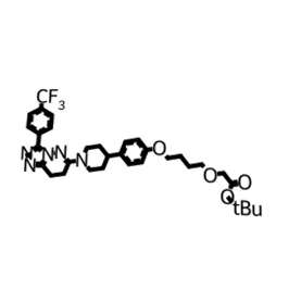 CC(C)(C)OC(=O)COCCCCOc1ccc(C2CCN(C3=Nn4c(nnc4-c4ccc(C(F)(F)F)cc4)CC3)CC2)cc1